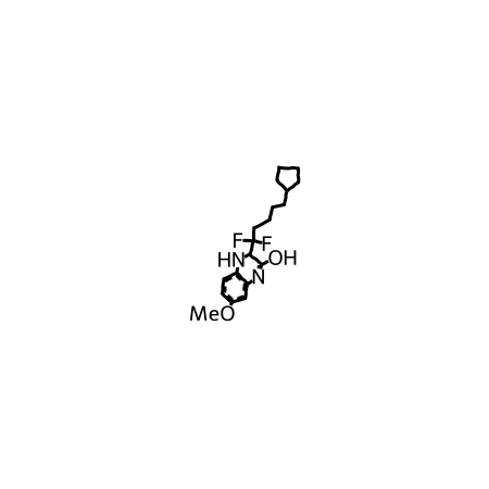 COc1ccc2c(c1)N=C(O)C(C(F)(F)CCCCC1CCCC1)N2